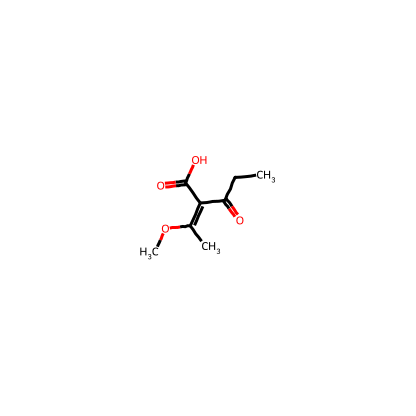 CCC(=O)/C(C(=O)O)=C(\C)OC